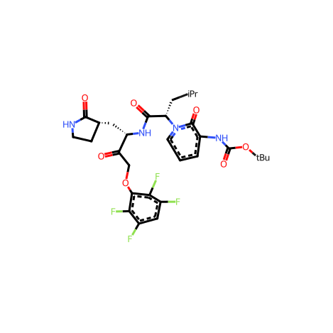 CC(C)C[C@@H](C(=O)N[C@@H](C[C@@H]1CCNC1=O)C(=O)COc1c(F)c(F)cc(F)c1F)n1cccc(NC(=O)OC(C)(C)C)c1=O